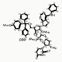 COc1ccc(C(OC[C@H]2O[C@@H](n3cnc4c(Nc5ccccc5)ncnc43)[C@@H](OC)C2OP(=O)(CO[C@@H]2[CH][C@H](OC)[C@H](n3ccc(=O)[nH]c3=O)O2)OC)(c2ccccc2)c2ccc(OC)cc2)cc1